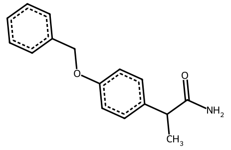 CC(C(N)=O)c1ccc(OCc2ccccc2)cc1